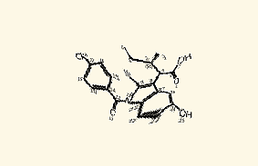 CC[C@@H](C)C(C(=O)O)c1c(C)n(C(=O)c2ccc(Cl)cc2)c2ccc(O)cc12